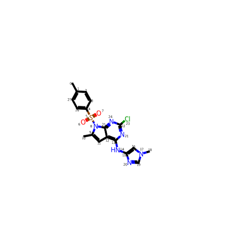 Cc1ccc(S(=O)(=O)n2c(C)cc3c(Nc4cn(C)cn4)nc(Cl)nc32)cc1